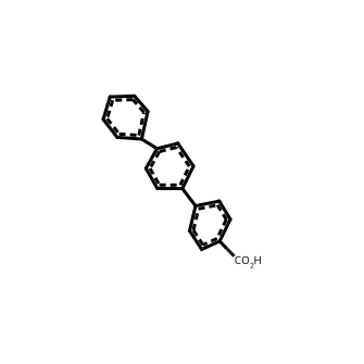 O=C(O)c1ccc(-c2ccc(-c3ccccc3)cc2)cc1